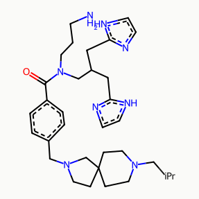 CC(C)CN1CCC2(CC1)CCN(Cc1ccc(C(=O)N(CCCN)CC(Cc3ncc[nH]3)Cc3ncc[nH]3)cc1)C2